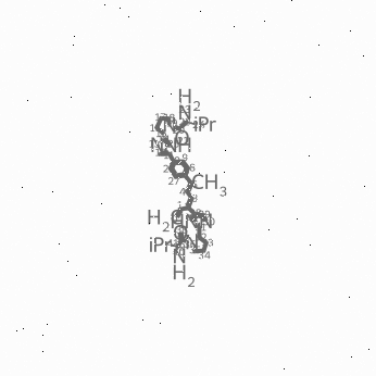 C=C/C(=C\C=C(/C)c1ccc(-c2cnc([C@@H]3CCCN3C(=O)[C@@H](N)C(C)C)[nH]2)cc1)c1cnc(C2CCCN2C(=O)[C@@H](N)C(C)C)[nH]1